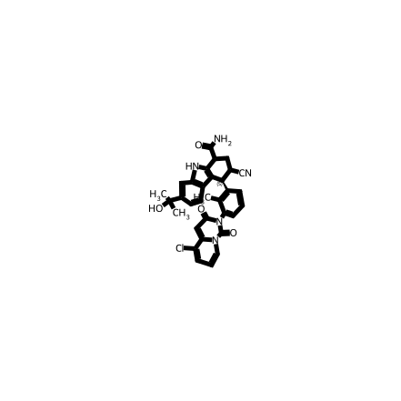 Cc1c([C@H]2c3c([nH]c4cc(C(C)(C)O)ccc34)C(C(N)=O)CC2C#N)cccc1-n1c(=O)cc2c(Cl)cccn2c1=O